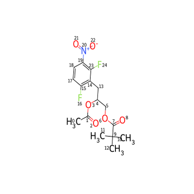 CC(=O)OC(COC(=O)C(C)(C)C)Cc1c(F)ccc([N+](=O)[O-])c1F